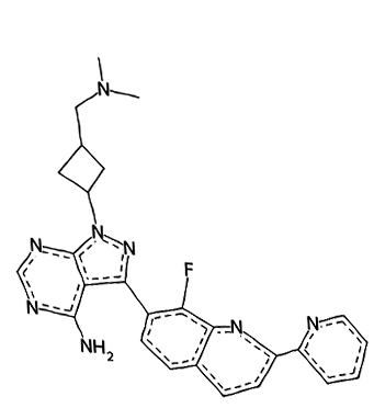 CN(C)CC1CC(n2nc(-c3ccc4ccc(-c5ccccn5)nc4c3F)c3c(N)ncnc32)C1